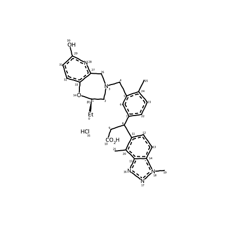 CC[C@@H]1CN(Cc2cc(C(CC(=O)O)c3ccc4c(nnn4C)c3C)ccc2C)Cc2nc(O)ccc2O1.Cl